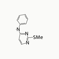 CSc1nccc([N]c2ccccc2)n1